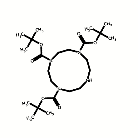 CC(C)(C)OC(=O)N1CCNCCN(C(=O)OC(C)(C)C)CCN(C(=O)OC(C)(C)C)CC1